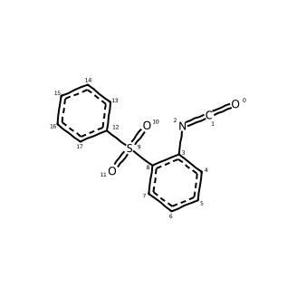 O=C=Nc1ccccc1S(=O)(=O)c1ccccc1